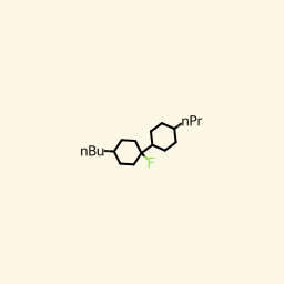 CCCCC1CCC(F)(C2CCC(CCC)CC2)CC1